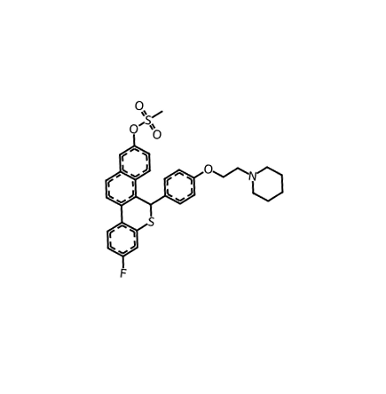 CS(=O)(=O)Oc1ccc2c3c(ccc2c1)-c1ccc(F)cc1SC3c1ccc(OCCN2CCCCC2)cc1